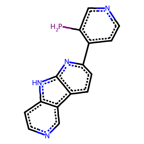 Pc1cnccc1-c1ccc2c(n1)[nH]c1ccncc12